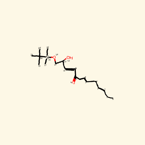 CCCCCCCC(=O)C=CC(O)CO[Si](C)(C)C(C)(C)C